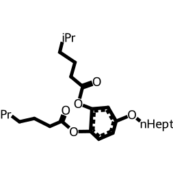 CCCCCCCOc1ccc(OC(=O)CCCC(C)C)c(OC(=O)CCCC(C)C)c1